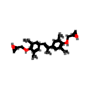 C/C(=C\c1cc(C)c(OCC2CO2)c(C)c1)c1cc(C)c(OCC2CO2)c(C)c1